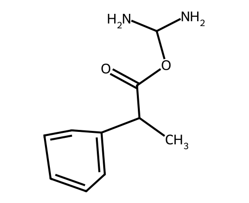 CC(C(=O)OC(N)N)c1ccccc1